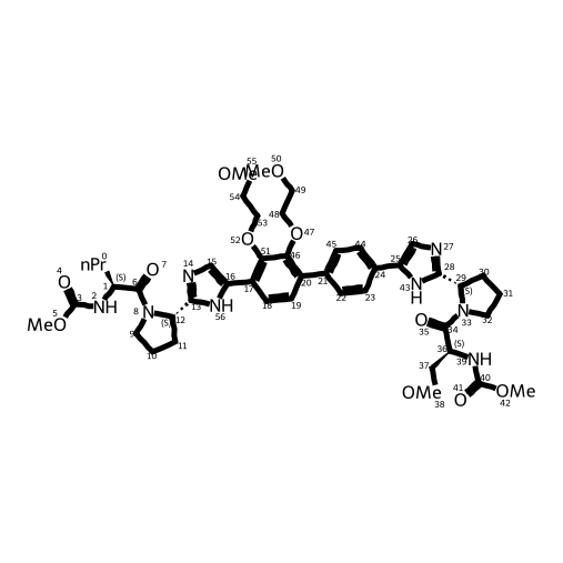 CCC[C@H](NC(=O)OC)C(=O)N1CCC[C@H]1c1ncc(-c2ccc(-c3ccc(-c4cnc([C@@H]5CCCN5C(=O)[C@H](COC)NC(=O)OC)[nH]4)cc3)c(OCCOC)c2OCCOC)[nH]1